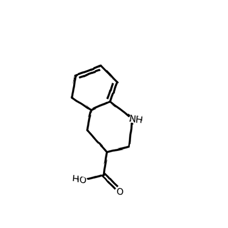 O=C(O)C1CNC2=CC=CCC2C1